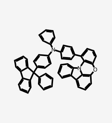 c1ccc(N(c2ccc(-c3cccc4c3-n3c5ccccc5c5cccc(c53)O4)cc2)c2ccc(C3(c4ccccc4)c4ccccc4-c4ccccc43)cc2)cc1